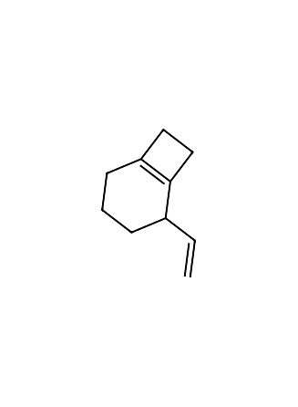 C=CC1CCCC2=C1CC2